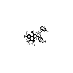 Cc1nc2c(N3C4CCC3CNC4)nc(OC[C@@]34CCCN3C[C@H](F)C4)nc2c(C2CC2)c1-c1cc(F)c(F)c2sc(N)c(C3CC3)c12